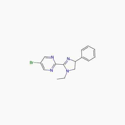 CCN1CC(c2ccccc2)N=C1c1ncc(Br)cn1